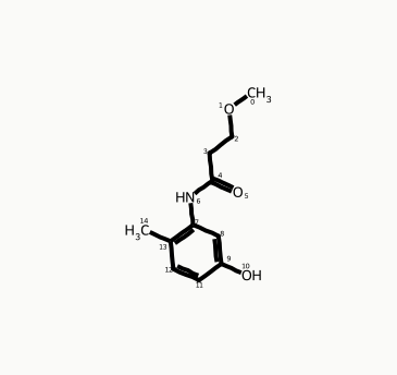 COCCC(=O)Nc1cc(O)ccc1C